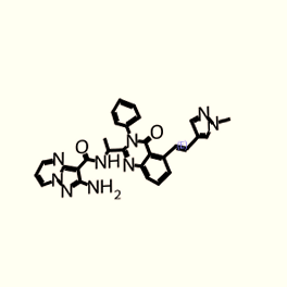 CC(NC(=O)c1c(N)nn2cccnc12)c1nc2cccc(/C=C/c3cnn(C)c3)c2c(=O)n1-c1ccccc1